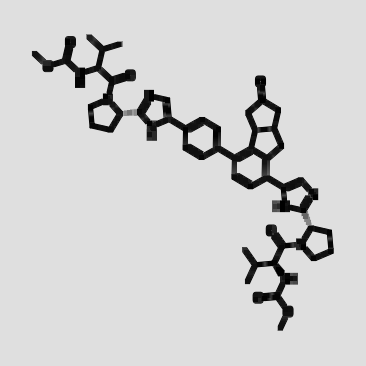 COC(=O)NC(C(=O)N1CCC[C@H]1c1ncc(-c2ccc(-c3ccc(-c4cnc([C@@H]5CCCN5C(=O)[C@@H](NC(=O)OC)C(C)C)[nH]4)c4c3C3CC(=O)CC3C4)cc2)[nH]1)C(C)C